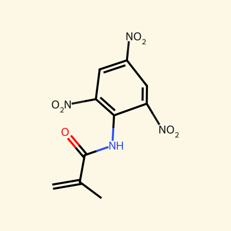 C=C(C)C(=O)Nc1c([N+](=O)[O-])cc([N+](=O)[O-])cc1[N+](=O)[O-]